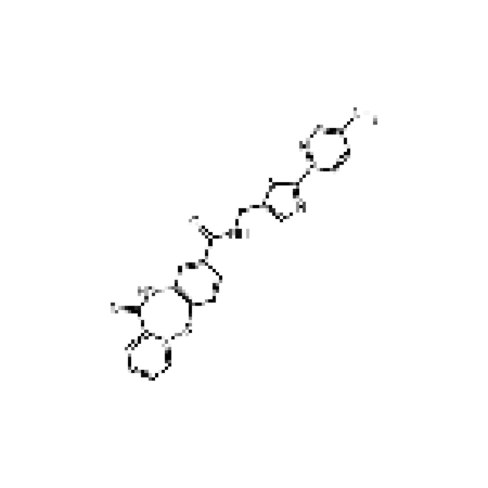 Nc1ccc(-c2ncc(CNC(=O)c3ccc4c(c3)NC(=O)c3ccccc3S4)s2)nc1